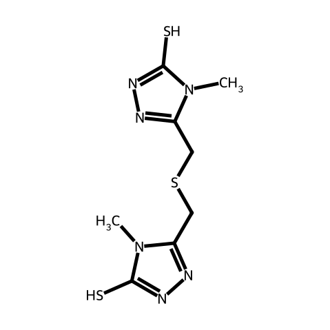 Cn1c(S)nnc1CSCc1nnc(S)n1C